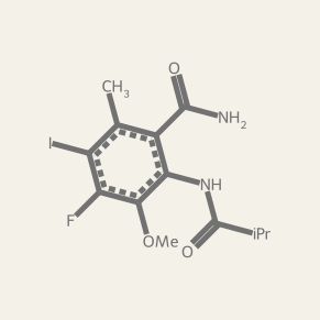 COc1c(F)c(I)c(C)c(C(N)=O)c1NC(=O)C(C)C